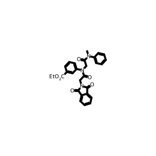 CCOC(=O)c1cccc(N(CC(=O)N(C)c2ccccc2)C(=O)CN2C(=O)c3ccccc3C2=O)c1